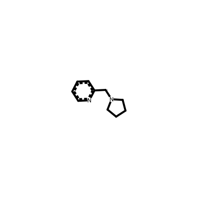 [CH](c1ccccn1)N1CCCC1